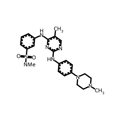 CNS(=O)(=O)c1cccc(Nc2nc(Nc3ccc(N4CCN(C)CC4)cc3)ncc2C)c1